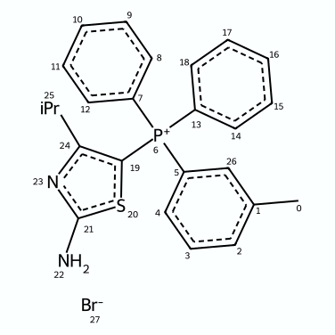 Cc1cccc([P+](c2ccccc2)(c2ccccc2)c2sc(N)nc2C(C)C)c1.[Br-]